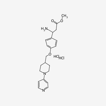 COC(=O)CC(N)c1ccc(OCC2CCN(c3ccncc3)CC2)cc1.Cl.Cl